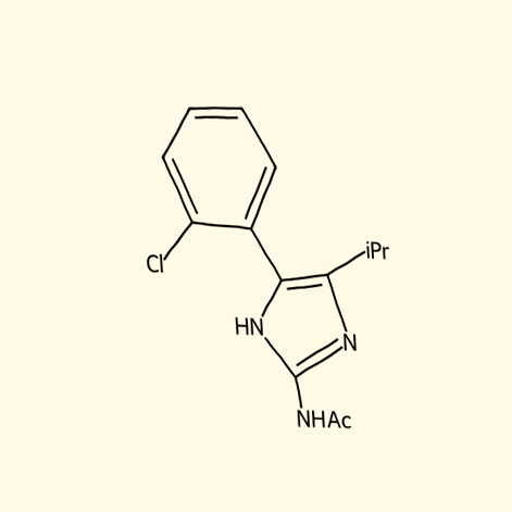 CC(=O)Nc1nc(C(C)C)c(-c2ccccc2Cl)[nH]1